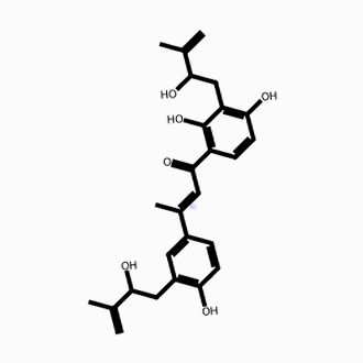 C=C(C)C(O)Cc1cc(/C(C)=C/C(=O)c2ccc(O)c(CC(O)C(=C)C)c2O)ccc1O